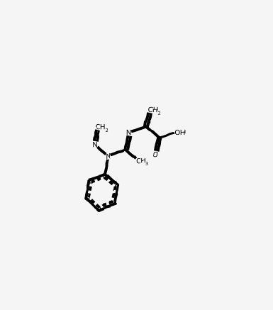 C=NN(/C(C)=N/C(=C)C(=O)O)c1ccccc1